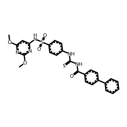 COc1cc(NS(=O)(=O)c2ccc(NC(=S)NC(=O)c3ccc(-c4ccccc4)cc3)cc2)nc(OC)n1